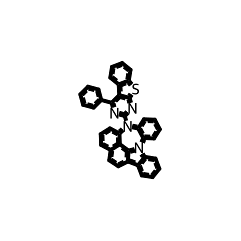 c1ccc(-c2nc(-n3c4cccc5ccc6c7ccccc7n(c7ccccc73)c6c54)nc3sc4ccccc4c23)cc1